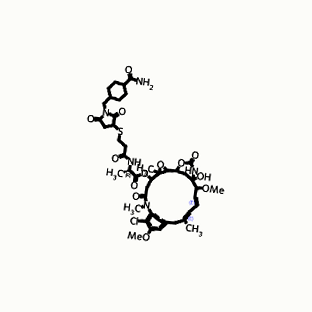 COc1cc2cc(c1Cl)N(C)C(=O)CC(OC(=O)[C@@H](C)NC(=O)CCSC1CC(=O)N(CC3CCC(C(N)=O)CC3)C1=O)C1(C)OC1C1CC(O)(NC(=O)O1)C(OC)/C=C/C=C(\C)C2